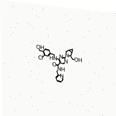 O=C(NCc1ccccn1)c1cnc(N2CC3CC3C2CO)nc1NCc1ccc(CO)c(Cl)c1